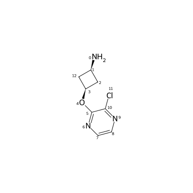 N[C@H]1C[C@@H](Oc2nccnc2Cl)C1